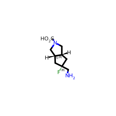 NC[C@]1(F)C[C@H]2CN(C(=O)O)C[C@H]2C1